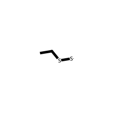 CCS[S]